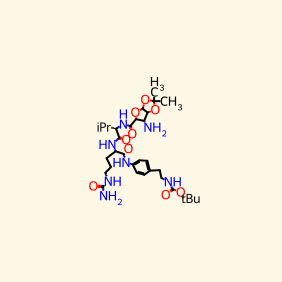 CC(C)[C@@H](NC(=O)C1OC2OC(C)(C)OC2C1N)C(=O)NC(CCCNC(N)=O)C(=O)Nc1ccc(CCNC(=O)OC(C)(C)C)cc1